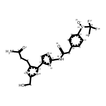 NC(=O)CCc1nc(CO)sc1-c1csc(NC(=O)Cc2ccc([S+]([O-])C(F)(F)F)cc2)n1